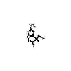 CC(CF)(c1cc(N)no1)C(F)F